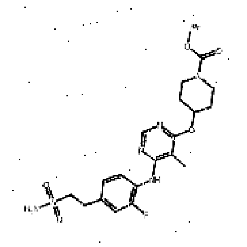 Cc1c(Nc2ccc(CCS(N)(=O)=O)cc2F)ncnc1OC1CCN(C(=O)OC(C)C)CC1